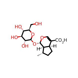 C[C@H]1CC[C@@H]2C(C(=O)O)=CO[C@@H](O[C@@H]3O[C@H](CO)[C@@H](O)[C@H](O)[C@H]3O)[C@@H]21